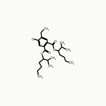 CCCCC(OC(=O)c1cc(Cl)c(CC)cc1C(=O)OC(CCCC)C(C)C)C(C)C